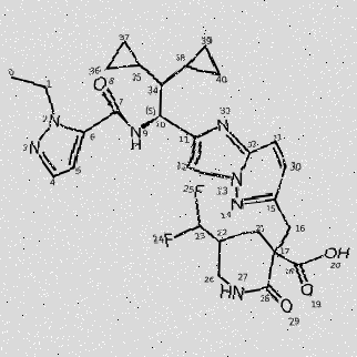 CCn1nccc1C(=O)N[C@H](c1cn2nc(CC3(C(=O)O)CC(C(F)F)CNC3=O)ccc2n1)C(C1CC1)C1CC1